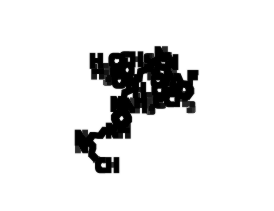 C#CCCC1(CCCNc2ccc3[nH]c(CCN(CCc4nc5c(N(Cc6ncccc6F)C(=O)OC(C)(C)C)ncnc5s4)C(=O)OC(C)(C)C)nc3c2)N=N1